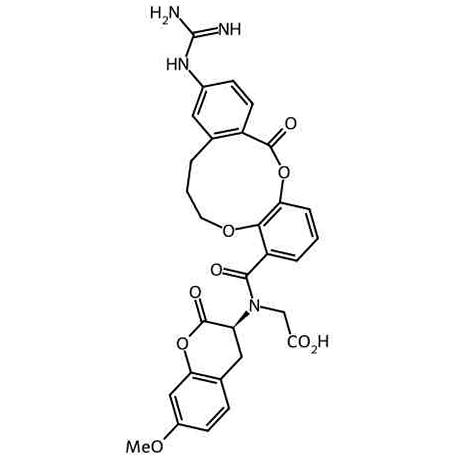 COc1ccc2c(c1)OC(=O)[C@@H](N(CC(=O)O)C(=O)c1cccc3c1OCCCc1cc(NC(=N)N)ccc1C(=O)O3)C2